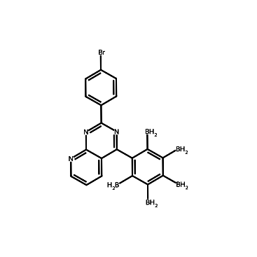 Bc1c(B)c(B)c(-c2nc(-c3ccc(Br)cc3)nc3ncccc23)c(B)c1B